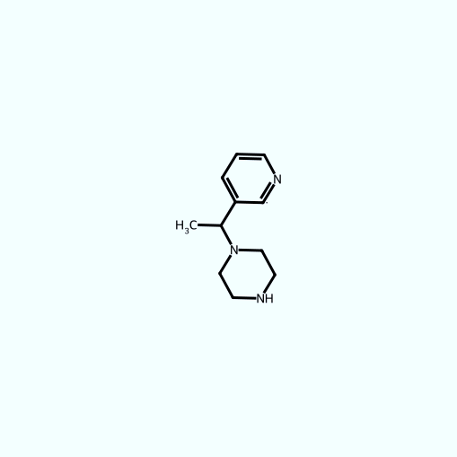 CC(c1[c]nccc1)N1CCNCC1